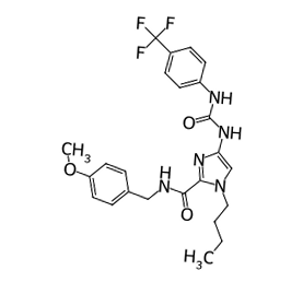 CCCCn1cc(NC(=O)Nc2ccc(C(F)(F)F)cc2)nc1C(=O)NCc1ccc(OC)cc1